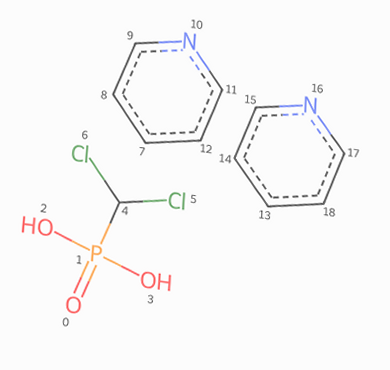 O=P(O)(O)C(Cl)Cl.c1ccncc1.c1ccncc1